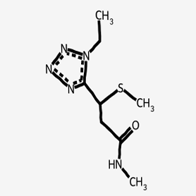 CCn1nnnc1C(CC(=O)NC)SC